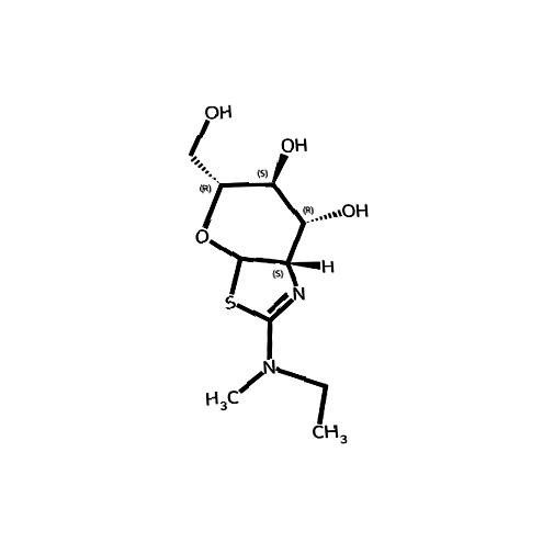 CCN(C)C1=N[C@@H]2C(O[C@H](CO)[C@@H](O)[C@@H]2O)S1